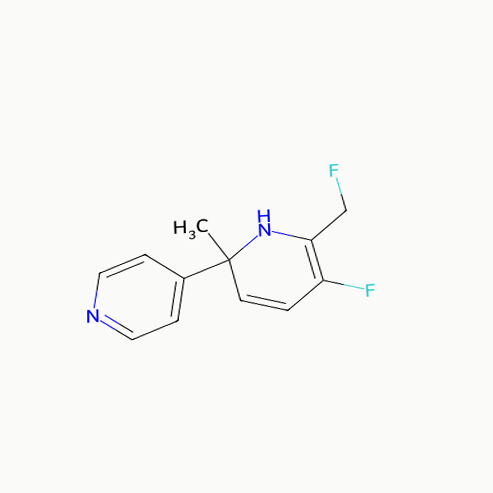 CC1(c2ccncc2)C=CC(F)=C(CF)N1